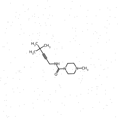 CN1CCN(C(=O)NCC#CC(C)(C)C)CC1